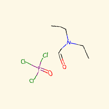 CCN(C=O)CC.O=P(Cl)(Cl)Cl